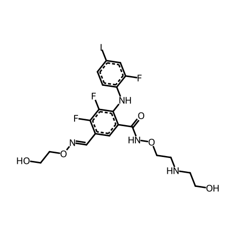 O=C(NOCCNCCO)c1cc(/C=N/OCCO)c(F)c(F)c1Nc1ccc(I)cc1F